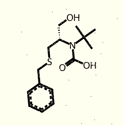 CC(C)(C)N(C(=O)O)[C@@H](CO)CSCc1ccccc1